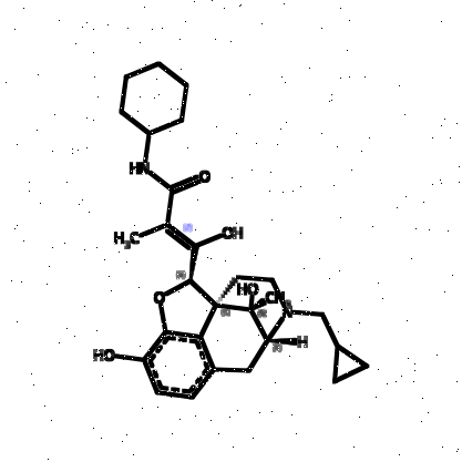 C/C(C(=O)NC1CCCCC1)=C(/O)[C@@H]1Oc2c(O)ccc3c2[C@@]12CCN(CC1CC1)[C@H](C3)[C@@]2(C)O